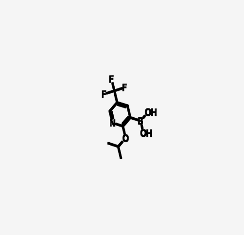 CC(C)Oc1ncc(C(F)(F)F)cc1B(O)O